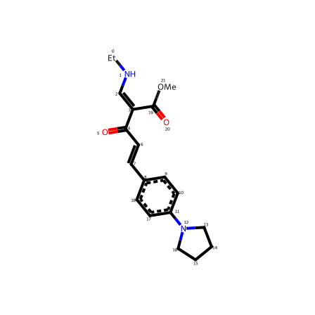 CCNC=C(C(=O)C=Cc1ccc(N2CCCC2)cc1)C(=O)OC